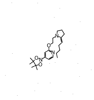 CCCC/C=C1/CCCN1CCOc1cc(N2OC(C)(C)C(C)(C)O2)ccn1